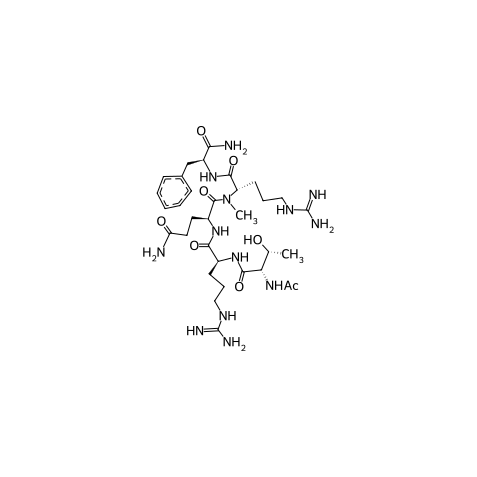 CC(=O)N[C@H](C(=O)N[C@@H](CCCNC(=N)N)C(=O)N[C@@H](CCC(N)=O)C(=O)N(C)[C@@H](CCCNC(=N)N)C(=O)N[C@@H](Cc1ccccc1)C(N)=O)[C@@H](C)O